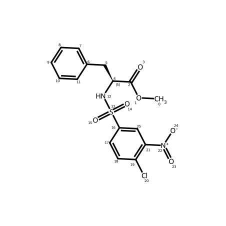 COC(=O)[C@H](Cc1ccccc1)NS(=O)(=O)c1ccc(Cl)c([N+](=O)[O-])c1